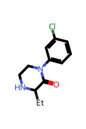 CCC1NCCN(c2cccc(Cl)c2)C1=O